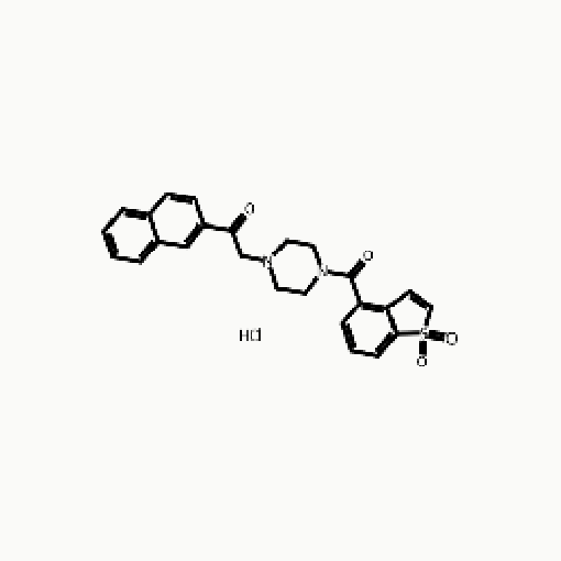 Cl.O=C(CN1CCN(C(=O)c2cccc3c2C=CS3(=O)=O)CC1)c1ccc2ccccc2c1